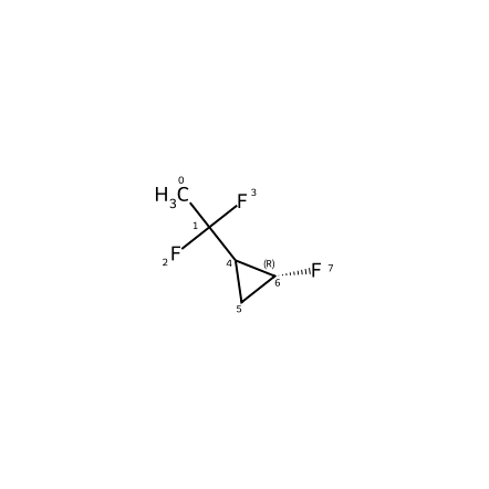 CC(F)(F)C1C[C@H]1F